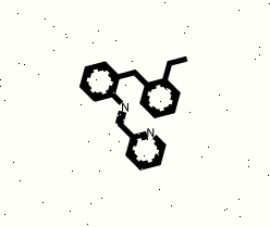 CCc1ccccc1Cc1ccccc1N=Cc1ccccn1